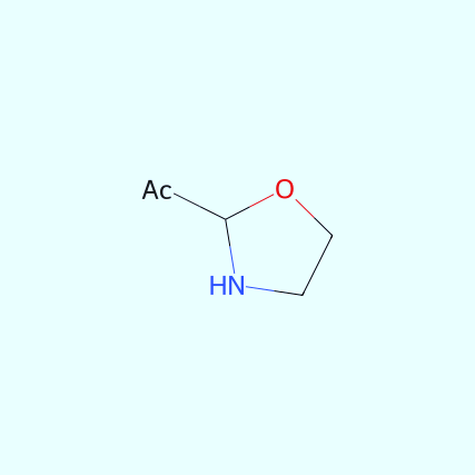 CC(=O)C1NCCO1